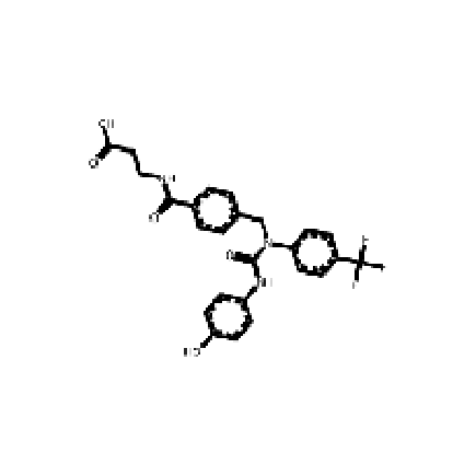 O=C(O)CCNC(=O)c1ccc(CN(C(=O)Nc2ccc(O)cc2)c2ccc(C(F)(F)F)cc2)cc1